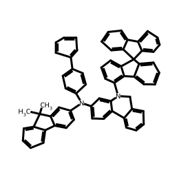 CC1(C)c2ccccc2-c2ccc(N(c3ccc(-c4ccccc4)cc3)c3ccc4c(c3)N(c3cccc5c3-c3ccccc3C53c5ccccc5-c5ccccc53)Cc3ccccc3-4)cc21